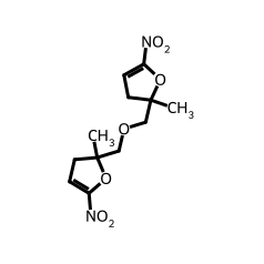 CC1(COCC2(C)CC=C([N+](=O)[O-])O2)CC=C([N+](=O)[O-])O1